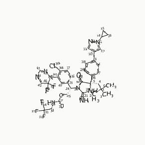 CC(C)(C)C[C@]1(c2ccc(-c3cnn(C4CC4)c3)cc2)NC(=N)N([C@H](COC(=O)NCC(F)(F)F)c2ccc(Cl)c(N3N=CN=CC3(F)F)c2)C1=O